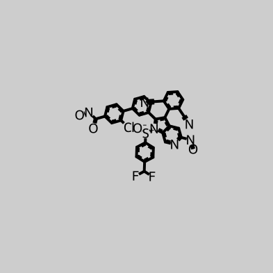 N#Cc1cccc(C#N)c1-c1c(-c2cccc(-c3ccc(C(=O)N=O)cc3Cl)c2)n([S+]([O-])c2ccc(C(F)F)cc2)c2cnc(N=O)cc12